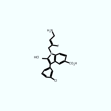 Cc1c(-c2cccc(Cl)c2)c2cc(C(=O)O)ccc2n1CC(F)=CCN.Cl